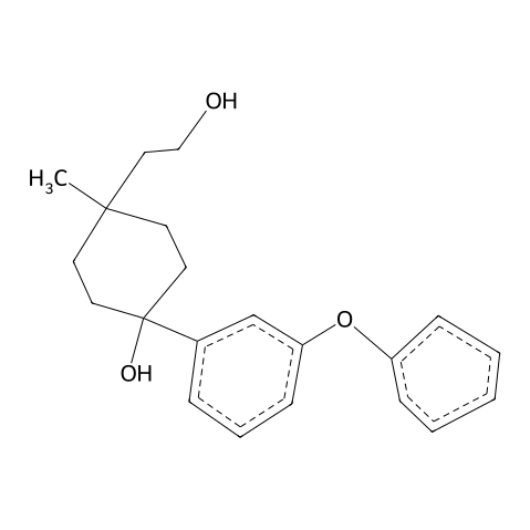 CC1(CCO)CCC(O)(c2cccc(Oc3ccccc3)c2)CC1